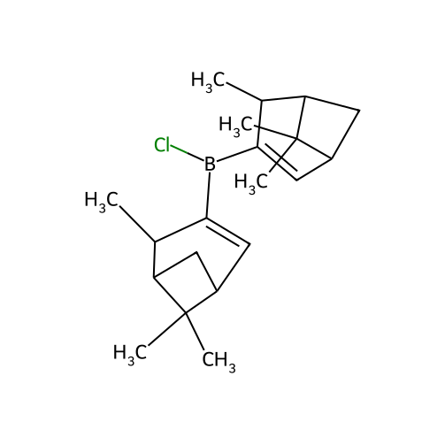 CC1C(B(Cl)C2=CC3CC(C2C)C3(C)C)=CC2CC1C2(C)C